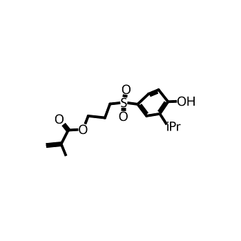 C=C(C)C(=O)OCCCS(=O)(=O)c1ccc(O)c(C(C)C)c1